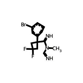 CN(C=N)C(=N)C1(c2cccc(Br)c2)CC(F)(F)C1